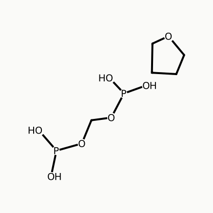 C1CCOC1.OP(O)OCOP(O)O